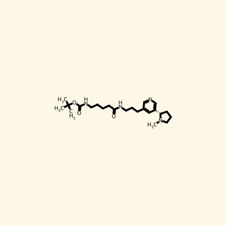 CN1CCC[C@H]1c1cncc(CCCNC(=O)CCCCNC(=O)OC(C)(C)C)c1